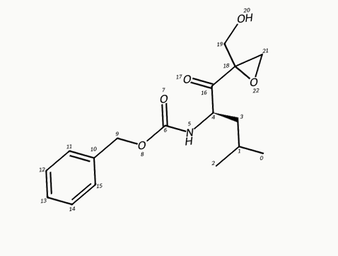 CC(C)C[C@@H](NC(=O)OCc1ccccc1)C(=O)C1(CO)CO1